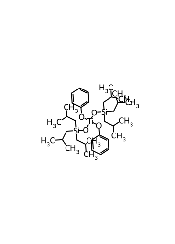 CC(C)C[Si](CC(C)C)(CC(C)C)[O][Ti]([O]c1ccccc1)([O]c1ccccc1)[O][Si](CC(C)C)(CC(C)C)CC(C)C